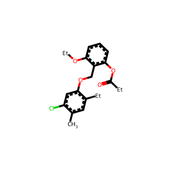 CCOc1cccc(OC(=O)CC)c1COc1cc(Cl)c(C)cc1CC